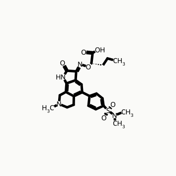 CCC[C@H](O/N=C1/C(=O)Nc2c1cc(-c1ccc(S(=O)(=O)N(C)C)cc1)c1c2CN(C)CC1)C(=O)O